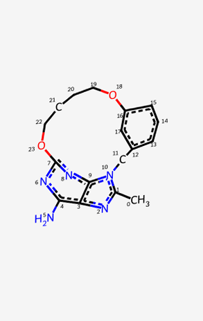 Cc1nc2c(N)nc3nc2n1Cc1cccc(c1)OCCCCO3